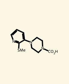 CSc1ncccc1N1CCN(C(=O)O)CC1